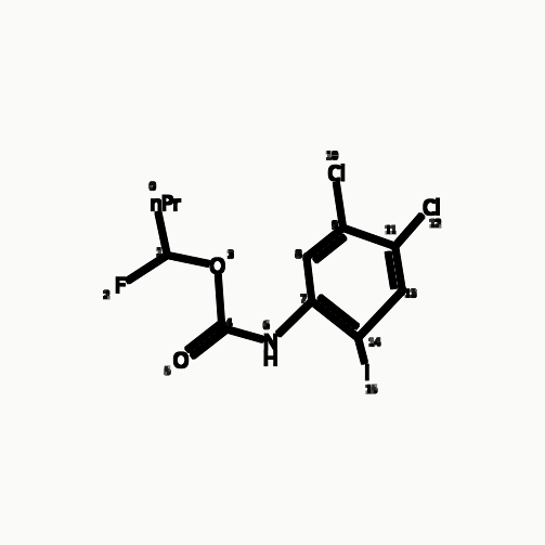 CCCC(F)OC(=O)Nc1cc(Cl)c(Cl)cc1I